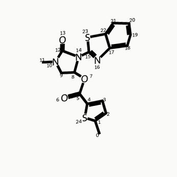 Cc1ccc(C(=O)OC2CN(C)C(=O)N2c2nc3ccccc3s2)s1